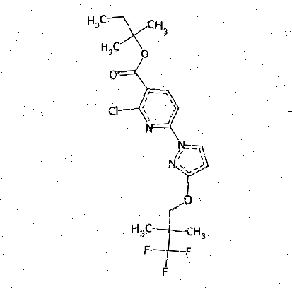 CCC(C)(C)OC(=O)c1ccc(-n2ccc(OCC(C)(C)C(F)(F)F)n2)nc1Cl